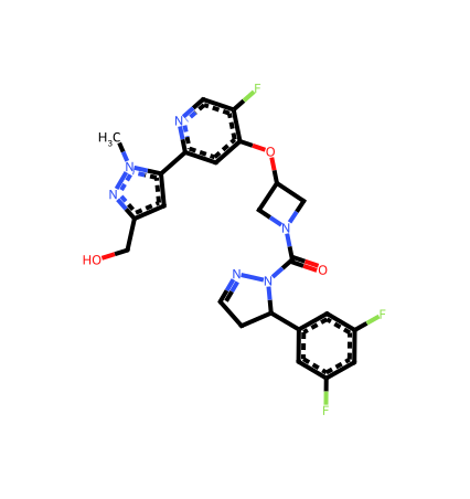 Cn1nc(CO)cc1-c1cc(OC2CN(C(=O)N3N=CCC3c3cc(F)cc(F)c3)C2)c(F)cn1